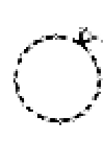 CC1(P)CCCCCCCCCCCCCCCCCCC1